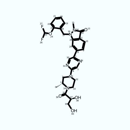 C[C@@H]1CN(c2cnc(-c3ccc4c(=O)n(C)n(Cc5ccccc5OC(F)F)c4c3)cn2)CCN1C(=O)[C@@H](O)CO